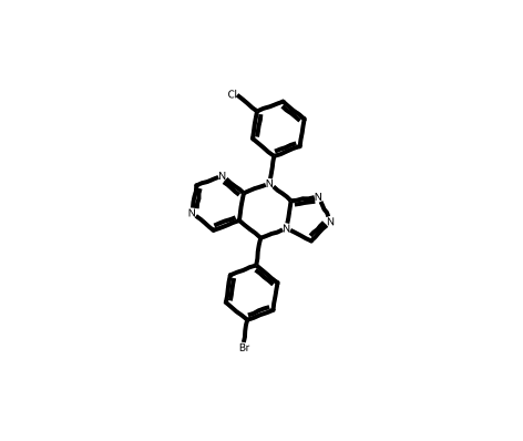 Clc1cccc(N2c3ncncc3C(c3ccc(Br)cc3)n3cnnc32)c1